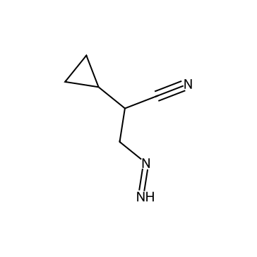 N#CC(CN=N)C1CC1